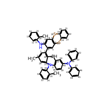 Cc1cc(-c2cc3c(cc2Nc2ccccc2C)Sc2ccccc2S3)c2c(c1)N(c1ccccc1C)c1ccc(N(c3ccccc3)c3ccccc3)cc1B2